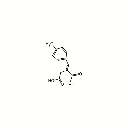 Cc1ccc(/C=C(\CC(=O)O)C(=O)O)cc1